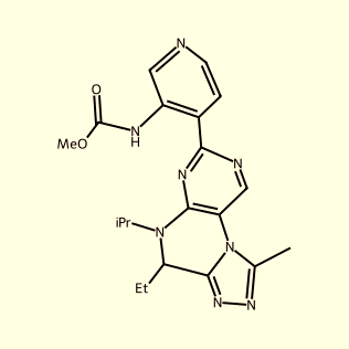 CCC1c2nnc(C)n2-c2cnc(-c3ccncc3NC(=O)OC)nc2N1C(C)C